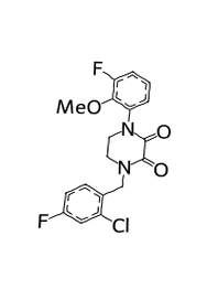 COc1c(F)cccc1N1CCN(Cc2ccc(F)cc2Cl)C(=O)C1=O